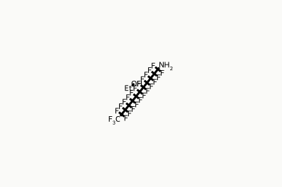 CCO.NC(F)(F)C(F)(F)C(F)(F)C(F)(F)C(F)(F)C(F)(F)C(F)(F)C(F)(F)C(F)(F)C(F)(F)C(F)(F)C(F)(F)F